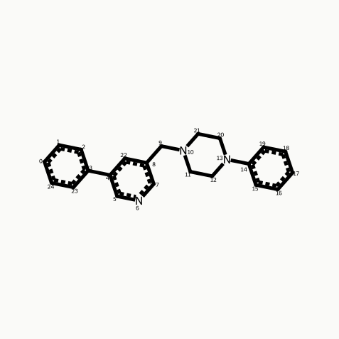 c1ccc(-c2cncc(CN3CCN(c4ccccc4)CC3)c2)cc1